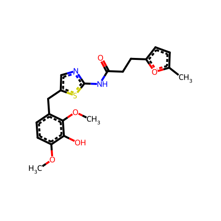 COc1ccc(Cc2cnc(NC(=O)CCc3ccc(C)o3)s2)c(OC)c1O